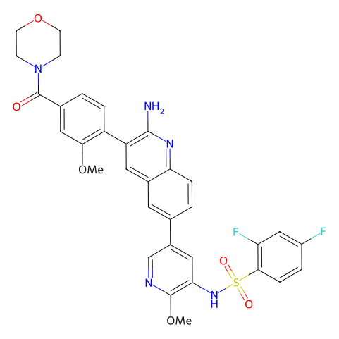 COc1cc(C(=O)N2CCOCC2)ccc1-c1cc2cc(-c3cnc(OC)c(NS(=O)(=O)c4ccc(F)cc4F)c3)ccc2nc1N